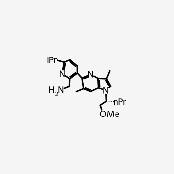 CCC[C@H](COC)n1cc(C)c2nc(-c3ccc(C(C)C)nc3CN)c(C)cc21